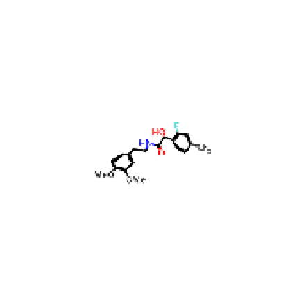 COc1ccc(CCNC(=O)C(O)c2ccc(C(F)(F)F)cc2F)cc1OC